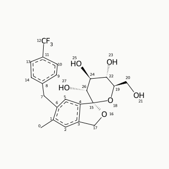 Cc1cc2c(cc1Cc1ccc(C(F)(F)F)cc1)[C@]1(OC2)O[C@H](CO)[C@@H](O)[C@H](O)[C@H]1O